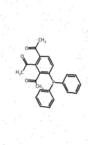 CC(=O)c1ccc(P(c2ccccc2)c2ccccc2)c(C(C)=O)c1C(C)=O